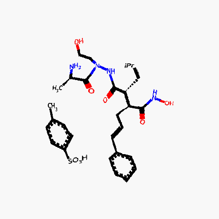 CC(C)C[C@@H](C(=O)NN(CCO)C(=O)[C@@H](C)N)[C@H](CC=Cc1ccccc1)C(=O)NO.Cc1ccc(S(=O)(=O)O)cc1